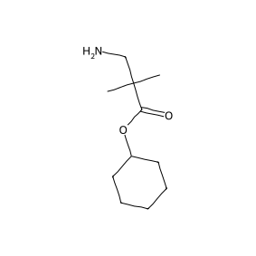 CC(C)(CN)C(=O)OC1CCCCC1